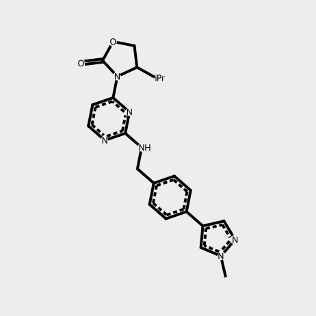 CC(C)C1COC(=O)N1c1ccnc(NCc2ccc(-c3cnn(C)c3)cc2)n1